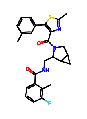 Cc1cccc(-c2sc(C)nc2C(=O)N2CC3CC3C2CNC(=O)c2cccc(F)c2C)c1